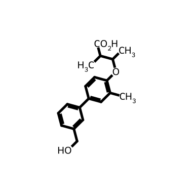 Cc1cc(-c2cccc(CO)c2)ccc1OC(C)C(C)C(=O)O